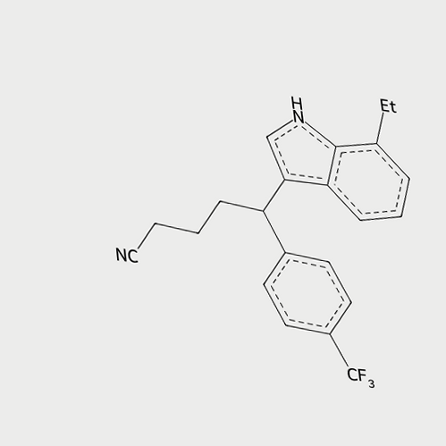 CCc1cccc2c(C(CCCC#N)c3ccc(C(F)(F)F)cc3)c[nH]c12